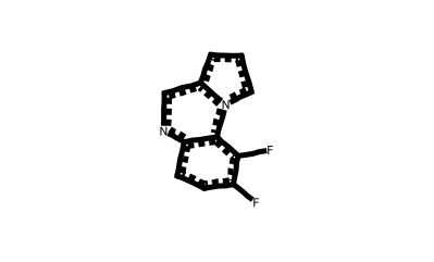 Fc1ccc2ncc3cccn3c2c1F